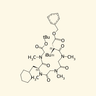 CC[C@H](C)[C@H](CC(=O)OCc1ccccc1)C(=O)N(C)CC(=O)N(C)CC(=O)N(C)[C@@H](CC1CCCCC1)C(=O)N(C)CC(=O)OC(C)(C)C